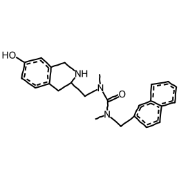 CN(Cc1ccc2ccccc2c1)C(=O)N(C)CC1Cc2ccc(O)cc2CN1